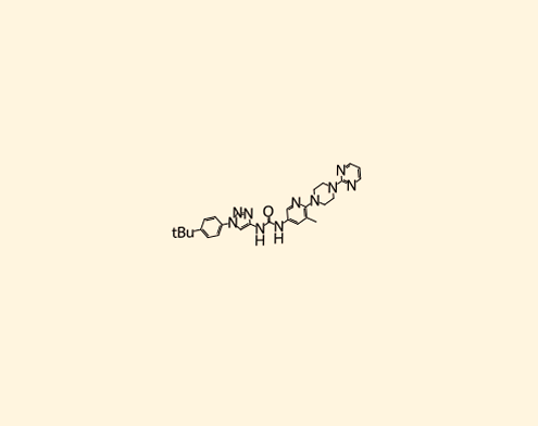 Cc1cc(NC(=O)Nc2cn(-c3ccc(C(C)(C)C)cc3)nn2)cnc1N1CCN(c2ncccn2)CC1